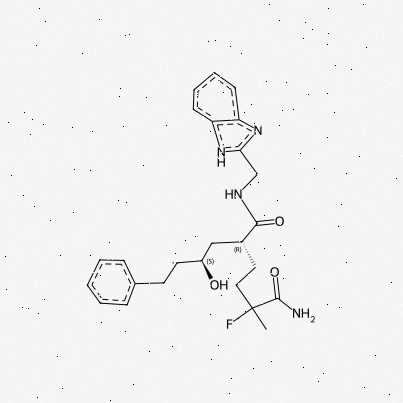 CC(F)(CC[C@H](C[C@@H](O)[CH]Cc1ccccc1)C(=O)NCc1nc2ccccc2[nH]1)C(N)=O